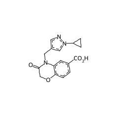 O=C(O)c1ccc2c(c1)N(Cc1cnn(C3CC3)c1)C(=O)CO2